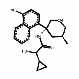 C[C@@H]1CNC[C@](NC(=O)C(N)C2CC2)(c2ccc(C#N)c3nccnc23)C1